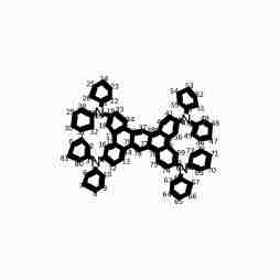 c1ccc(N(c2ccccc2)c2ccc3c(c2)c2cc(N(c4ccccc4)c4ccccc4)ccc2c2cc4c5ccc(N(c6ccccc6)c6ccccc6)cc5c5cc(N(c6ccccc6)c6ccccc6)ccc5c4cc32)cc1